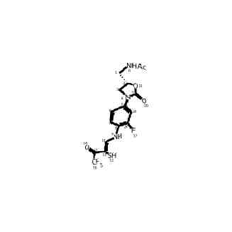 CC(=O)NC[C@H]1CN(c2ccc(N/C=C(\S)C(=O)C(F)(F)F)c(F)c2)C(=O)O1